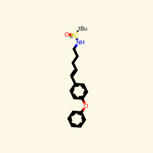 CC(C)(C)[S@+]([O-])NCCCC=Cc1ccc(Oc2ccccc2)cc1